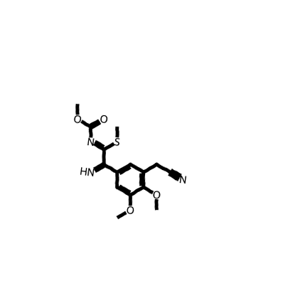 COC(=O)N=C(SC)C(=N)c1cc(CC#N)c(OC)c(OC)c1